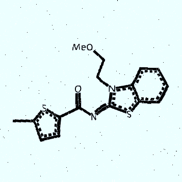 COCCn1c(=NC(=O)c2ccc(C)s2)sc2ccccc21